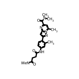 CNC(=O)CCC(=O)Nc1ccc(-c2cc3nc(C(=O)N(C)C)cc(C)n3n2)c(C)c1